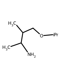 CC(C)OCC(C)C(C)N